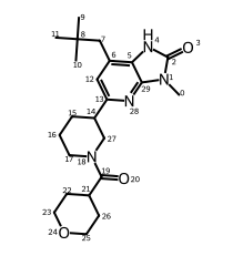 Cn1c(=O)[nH]c2c(CC(C)(C)C)cc(C3CCCN(C(=O)C4CCOCC4)C3)nc21